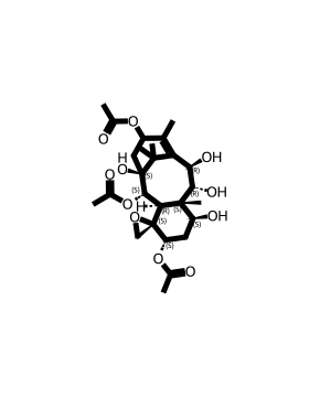 CC(=O)OC1C[C@@]2(O)[C@@H](OC(C)=O)[C@@H]3[C@]4(CO4)[C@@H](OC(C)=O)C[C@H](O)[C@@]3(C)[C@@H](O)[C@H](O)C(=C1C)C2(C)C